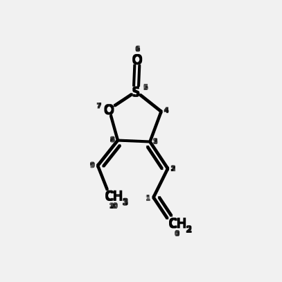 C=C/C=C1/CS(=O)O/C1=C/C